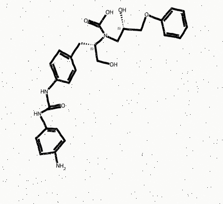 Nc1ccc(NC(=O)Nc2ccc(C[C@@H](CO)N(C[C@H](O)COc3ccccc3)C(=O)O)cc2)cc1